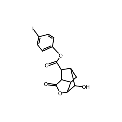 O=C(Oc1ccc(I)cc1)C1C2CC3C(OC(=O)C31)C2O